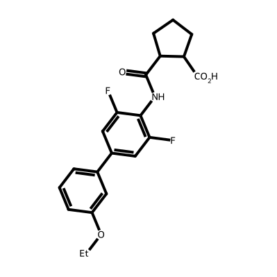 CCOc1cccc(-c2cc(F)c(NC(=O)C3CCCC3C(=O)O)c(F)c2)c1